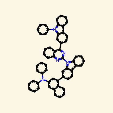 c1ccc(N(c2ccccc2)c2cc(-c3ccc4c5ccccc5n(-c5nc(-c6ccc7c8ccccc8n(-c8ccccc8)c7c6)c6ccccc6n5)c4c3)c3ccccc3c2)cc1